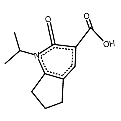 CC(C)n1c2c(cc(C(=O)O)c1=O)CCC2